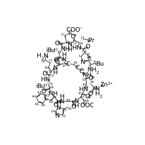 CCC(C)C(N)C1=NCC(C(=O)N[C@@H](CC(C)C)C(=O)N[C@H](CCC(=O)[O-])C(=O)N[C@H](C(=O)N[C@H]2CCCCNC(=O)[C@H](CC(N)=O)NC(=O)[C@@H](CC(=O)[O-])NC(=O)[C@H](Cc3cnc[nH]3)NC(=O)[C@@H](Cc3ccccc3)NC(=O)[C@H]([C@@H](C)CC)NC(=O)[C@@H](CCCN)NC2=O)[C@@H](C)CC)S1.[Zn+2]